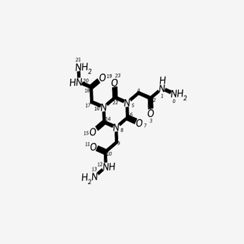 NNC(=O)Cn1c(=O)n(CC(=O)NN)c(=O)n(CC(=O)NN)c1=O